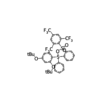 CC(C)(C)Oc1ccc(S(OS(=O)(=O)c2c(C(F)(F)F)cc(C(F)(F)F)cc2C(F)(F)F)(c2ccccc2)c2ccccc2)c(OC(C)(C)C)c1